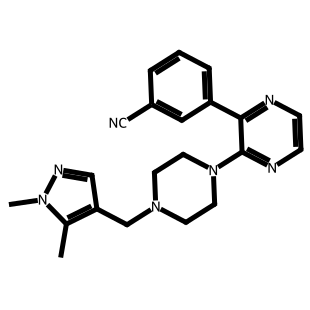 Cc1c(CN2CCN(c3nccnc3-c3cccc(C#N)c3)CC2)cnn1C